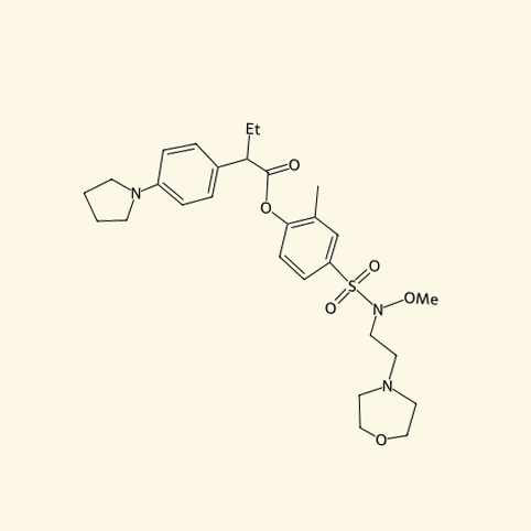 CCC(C(=O)Oc1ccc(S(=O)(=O)N(CCN2CCOCC2)OC)cc1C)c1ccc(N2CCCC2)cc1